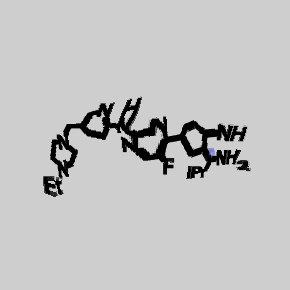 CCN1CCN(Cc2ccc(Nc3ncc(F)c(C4=C/C(=C(/N)C(C)C)C(=N)C=C4)n3)nc2)CC1